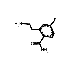 NCCc1cc(F)ccc1C(N)=O